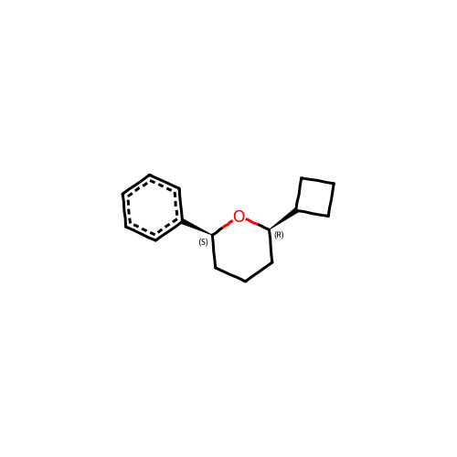 c1ccc([C@@H]2CCC[C@H](C3CCC3)O2)cc1